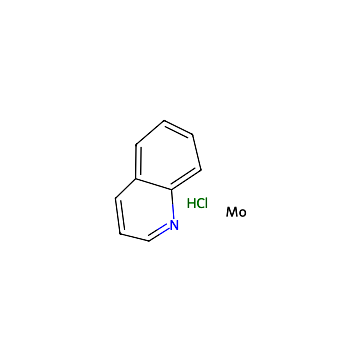 Cl.[Mo].c1ccc2ncccc2c1